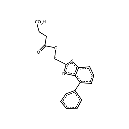 O=C(O)CCC(=O)OSc1nc2c(-c3ccccc3)cccc2s1